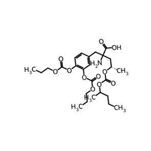 CCCOC(=O)Oc1ccc(CC(N)(C[C@H](C)OC(=O)OC(C)CCC)C(=O)O)cc1OC(=O)OCCC